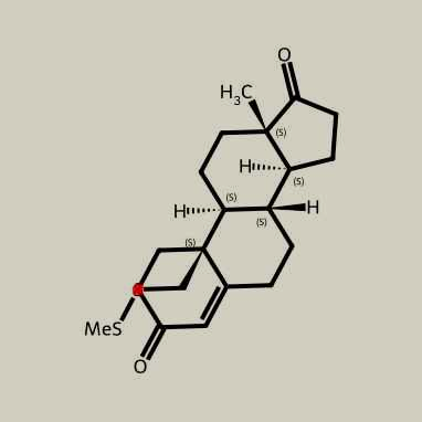 CSSC[C@]12CCC(=O)C=C1CC[C@@H]1[C@@H]2CC[C@]2(C)C(=O)CC[C@@H]12